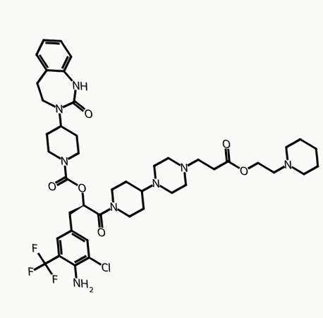 Nc1c(Cl)cc(C[C@@H](OC(=O)N2CCC(N3CCc4ccccc4NC3=O)CC2)C(=O)N2CCC(N3CCN(CCC(=O)OCCN4CCCCC4)CC3)CC2)cc1C(F)(F)F